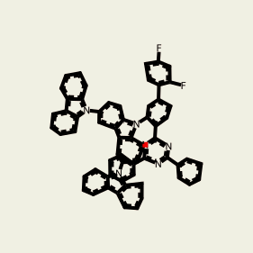 Fc1ccc(-c2ccc(-c3nc(-c4ccccc4)nc(-c4ccccc4)n3)c(-n3c4ccc(-n5c6ccccc6c6ccccc65)cc4c4cc(-n5c6ccccc6c6ccccc65)ccc43)c2)c(F)c1